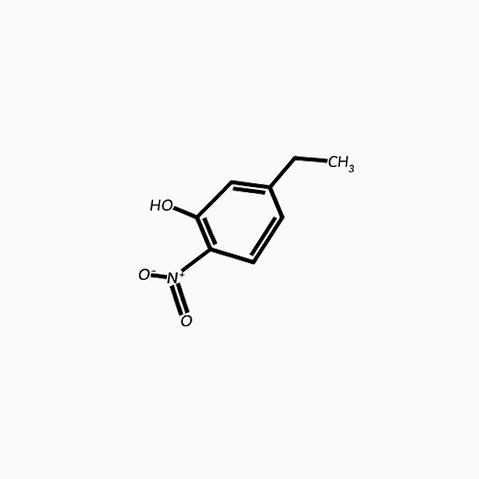 CCc1ccc([N+](=O)[O-])c(O)c1